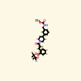 CC(C)(C)OC(=O)NCc1cccc(C2CCN(C(=O)c3cc4c(B5OC(C)(C)C(C)(C)O5)cccc4s3)CC2)c1